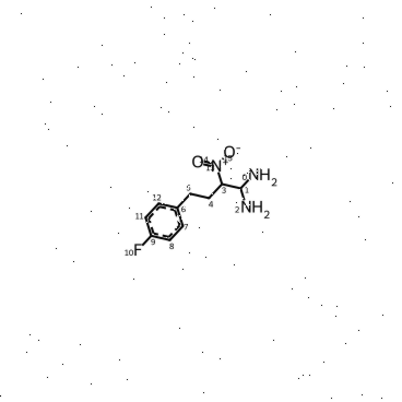 NC(N)C(CCc1ccc(F)cc1)[N+](=O)[O-]